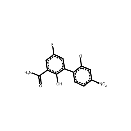 NC(=O)c1cc(F)cc(-c2ccc([N+](=O)[O-])cc2Cl)c1O